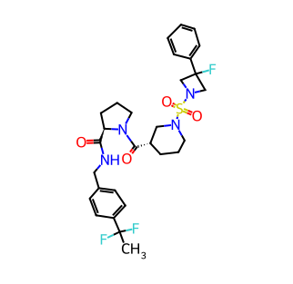 CC(F)(F)c1ccc(CNC(=O)[C@H]2CCCN2C(=O)[C@H]2CCCN(S(=O)(=O)N3CC(F)(c4ccccc4)C3)C2)cc1